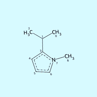 CC(C)c1cccn1C